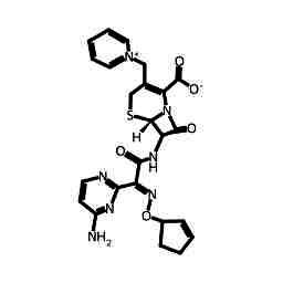 Nc1ccnc(C(=NOC2C=CCC2)C(=O)NC2C(=O)N3C(C(=O)[O-])=C(C[n+]4ccccc4)CS[C@@H]23)n1